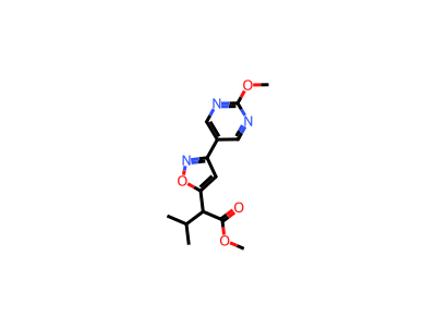 COC(=O)C(c1cc(-c2cnc(OC)nc2)no1)C(C)C